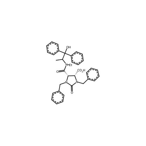 CCN(C(=O)[C@@H]1[C@H](C(=O)O)N(Cc2ccccc2)C(=O)N1Cc1ccccc1)C(C)C(O)(c1ccccc1)c1ccccc1